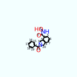 O=C(NO)c1cccc2c1CN(C(=O)c1ccccc1)C2